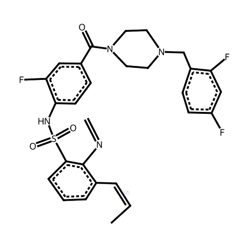 C=Nc1c(/C=C\C)cccc1S(=O)(=O)Nc1ccc(C(=O)N2CCN(Cc3ccc(F)cc3F)CC2)cc1F